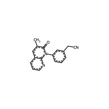 Cc1cc2cccnc2n(-c2cccc(CC#N)c2)c1=O